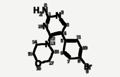 Nc1ncc(-c2ccc(Br)cc2)c(N2CCOCC2)n1